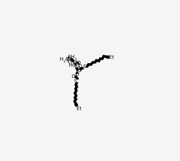 CCC#CCCCCCCCCCCSCC(=O)OC[C@H](COP(=O)(O)OCC[N+](C)(C)C)OC(=O)CSCCCCCCCCCCC#CCC